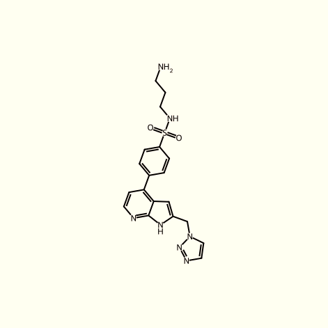 NCCCNS(=O)(=O)c1ccc(-c2ccnc3[nH]c(Cn4ccnn4)cc23)cc1